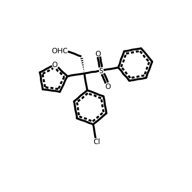 O=CC[C@](c1ccc(Cl)cc1)(c1ccco1)S(=O)(=O)c1ccccc1